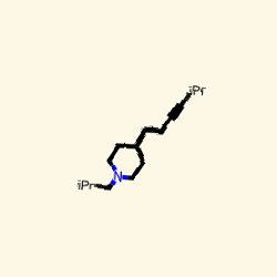 CC(C)C#CCCC1CCN(CC(C)C)CC1